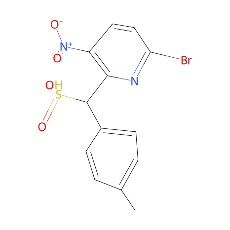 Cc1ccc(C(c2nc(Br)ccc2[N+](=O)[O-])[SH](=O)=O)cc1